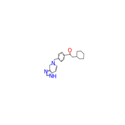 O=C(CC1CCCCC1)c1ccc(CN2C=Cc3[nH]cnc3C2)cc1